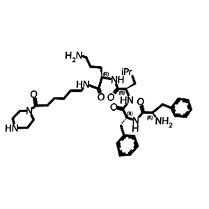 CC(C)C[C@@H](NC(=O)[C@@H](Cc1ccccc1)NC(=O)[C@H](N)Cc1ccccc1)C(=O)N[C@H](CCCN)C(=O)NCCCCCC(=O)N1CCNCC1